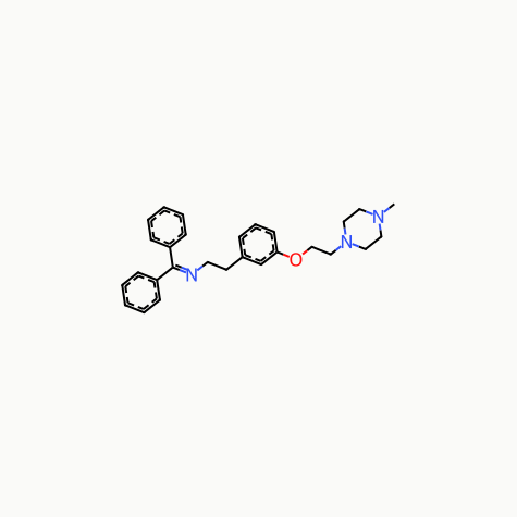 CN1CCN(CCOc2cccc(CCN=C(c3ccccc3)c3ccccc3)c2)CC1